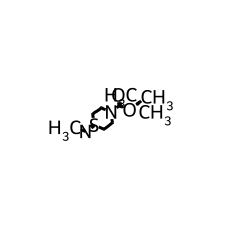 CN=S1CCN(C(=O)OC(C)(C)C)CC1